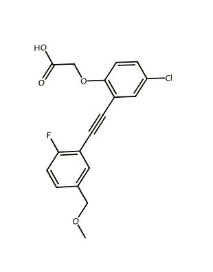 COCc1ccc(F)c(C#Cc2cc(Cl)ccc2OCC(=O)O)c1